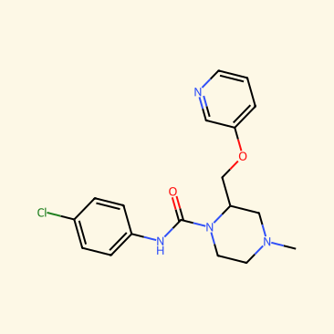 CN1CCN(C(=O)Nc2ccc(Cl)cc2)C(COc2cccnc2)C1